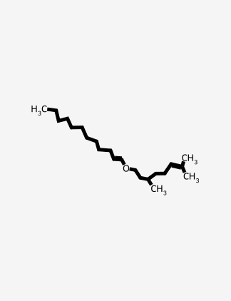 CCCCCCCCCCC=COCCC(C)CCC=C(C)C